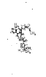 CC#CC(=O)N1CC[C@@H](Nc2n[nH]c3nccc(-c4ccc(CNC(=O)c5cc(C(C)(C)C)on5)c(F)c4)c23)C1